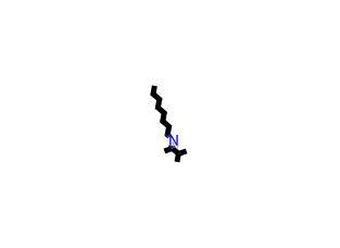 CCCCCCCC/N=C(\C)C(C)C